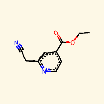 CCOC(=O)c1ccnc(CC#N)c1